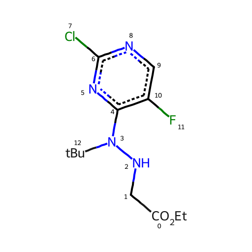 CCOC(=O)CNN(c1nc(Cl)ncc1F)C(C)(C)C